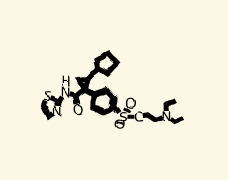 CCN(CC)CCCS(=O)(=O)c1ccc(C2(C(=O)Nc3nccs3)CC2C2CCCC2)cc1